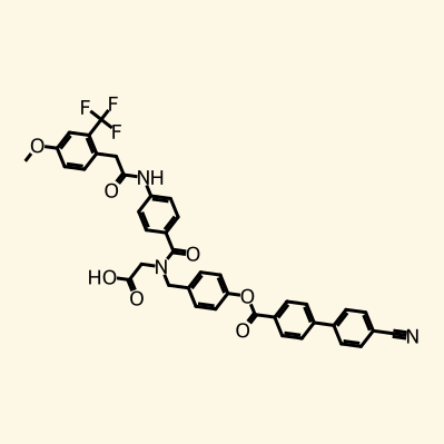 COc1ccc(CC(=O)Nc2ccc(C(=O)N(CC(=O)O)Cc3ccc(OC(=O)c4ccc(-c5ccc(C#N)cc5)cc4)cc3)cc2)c(C(F)(F)F)c1